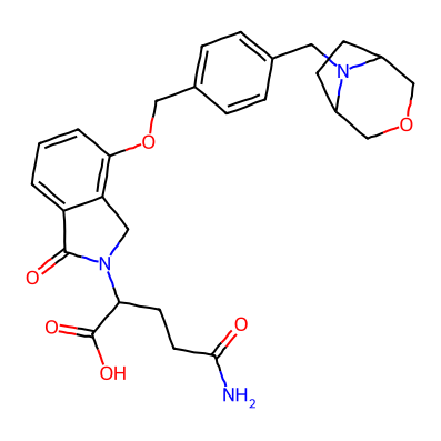 NC(=O)CCC(C(=O)O)N1Cc2c(OCc3ccc(CN4C5CCC4COC5)cc3)cccc2C1=O